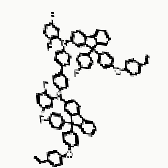 C=Cc1ccc(Oc2ccc(C3(c4ccc(F)cc4)c4ccccc4-c4ccc(N(c5ccc(-c6ccc(N(c7ccc8c(c7)C(c7ccc(F)cc7)(c7ccc(Oc9ccc(C=C)cc9)cc7)c7ccccc7-8)c7cc(F)ccc7F)cc6)cc5)c5cc(F)ccc5F)cc43)cc2)cc1